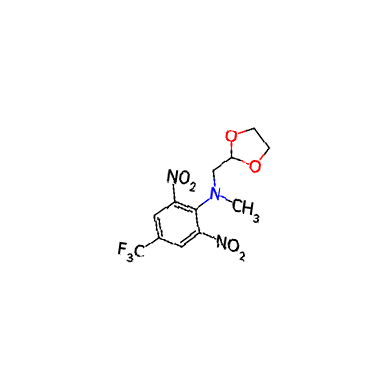 CN(CC1OCCO1)c1c([N+](=O)[O-])cc(C(F)(F)F)cc1[N+](=O)[O-]